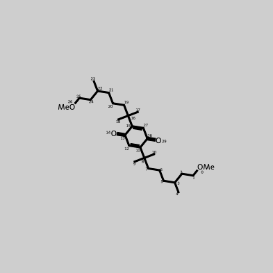 COCCC(C)CCCC(C)(C)C1=CC(=O)C(C(C)(C)CCCC(C)CCOC)=CC1=O